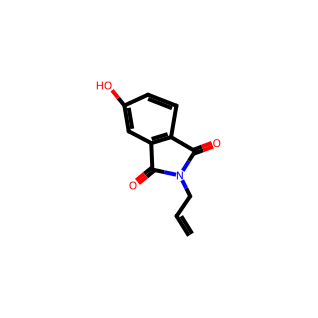 C=CCN1C(=O)c2ccc(O)cc2C1=O